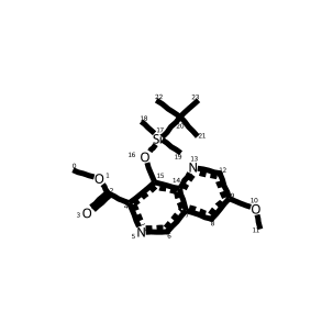 COC(=O)c1ncc2cc(OC)cnc2c1O[Si](C)(C)C(C)(C)C